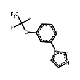 FC(F)(F)C(F)(F)Oc1cccc(-n2[c]ncc2)c1